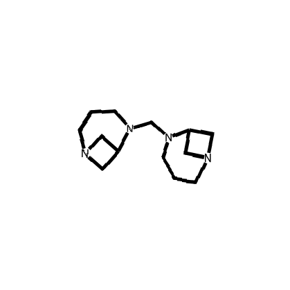 C1CN2CC(C2)N(CN2CCCN3CC2C3)C1